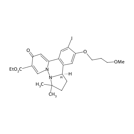 CCOC(=O)c1cn2c(cc1=O)-c1cc(I)c(OCCCOC)cc1[C@H]1CCC(C)(C)N12